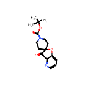 CC(C)(C)OC(=O)N1CCC2(CC1)Oc1cccnc1C2=O